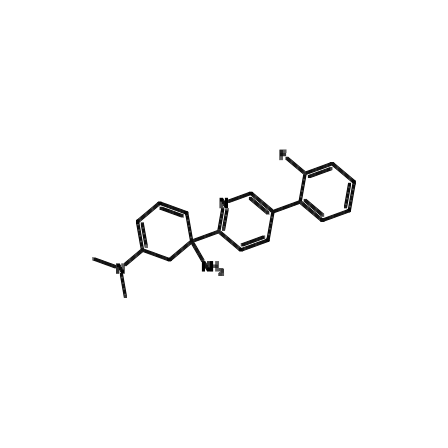 CN(C)C1=CC=CC(N)(c2ccc(-c3ccccc3F)cn2)C1